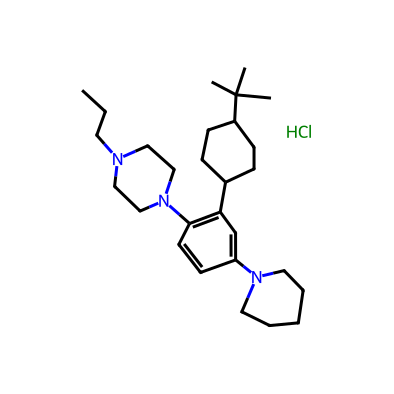 CCCN1CCN(c2ccc(N3CCCCC3)cc2C2CCC(C(C)(C)C)CC2)CC1.Cl